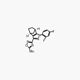 CC(C)(C)c1nc(-c2nn(-c3ccc(F)cc3F)c3c2[C@H]2CC[C@@H]3C2)no1